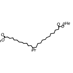 CCCCCCOC(=O)CCCCCCCCCCCC(CCCCCCCCCCCC(=O)OCCCCCC)C(C)C